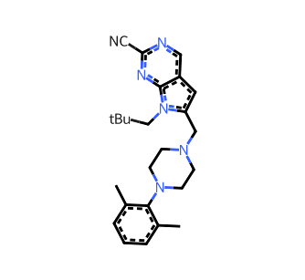 Cc1cccc(C)c1N1CCN(Cc2cc3cnc(C#N)nc3n2CC(C)(C)C)CC1